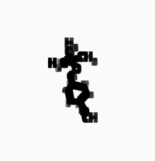 C#Cc1ccc(CO[Si](C)(C)C)cc1